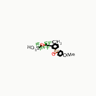 COc1ccc([S+]([O-])c2ccc(C)c(C(F)(F)C(F)(F)OC(F)(F)C(F)(F)S(=O)(=O)O)c2)cc1